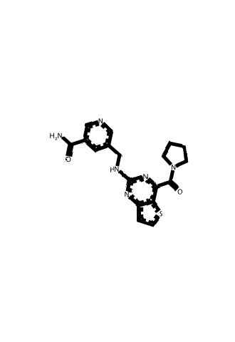 NC(=O)c1cncc(CNc2nc(C(=O)N3CCCC3)c3sccc3n2)c1